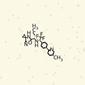 CCC[C@H](N[C@@H](c1ccc(-c2ccc(C)cn2)cc1)C(F)(F)F)C(=O)NC1(C#N)CC1